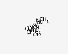 Cc1ncc(-c2nc(N3CCOCC3)c3nc4n(c3n2)CCO[C@@H]4C(F)(F)F)cn1